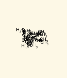 COc1ccc(C(=O)N(CCOCCN(C)C)CCOCCN(C)C)c(SSc2cc(OC)ccc2C(=O)N(CCOCCN(C)C)CCOCCN(C)C)c1